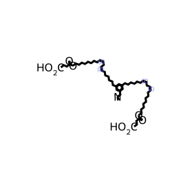 CN(C)Cc1cc(CCCCCC/C=C\C/C=C\CCCCCCCCOC(=O)CCC(=O)O)cc(CCCCCC/C=C\C/C=C\CCCCCCCCOC(=O)CCC(=O)O)c1